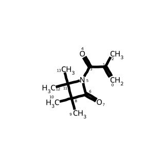 C=C(C)C(=O)N1C(=O)C(C)(C)C1(C)C